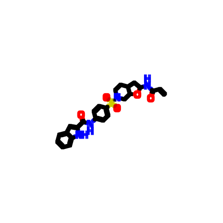 C=CC(=O)NC1CC2CCN(S(=O)(=O)c3ccc(NC(=O)c4cc5ccccc5[nH]4)cc3)CC2O1